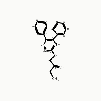 CCC(=O)CSc1nnc(-c2ccccc2)c(-c2ccccc2)n1